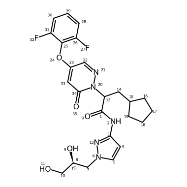 O=C(Nc1ccn(C[C@H](O)CO)n1)C(CC1CCCC1)n1ncc(Oc2c(F)cccc2F)cc1=O